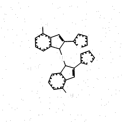 Cc1cccc2c1C=C(c1ccco1)[CH]2[Hf+2][CH]1C(c2ccco2)=Cc2c(C)cccc21.[Cl-].[Cl-]